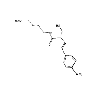 CCCCCCCCCCCCCCNC(=O)[C@H](CO)/N=C/c1ccc([N+](=O)[O-])cc1